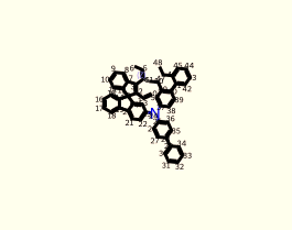 C=CC1=C(/C=C\C)c2ccccc2C12c1ccccc1-c1ccc(N(c3ccc(-c4ccccc4)cc3)c3ccc(-c4ccccc4CC)c(CC)c3)cc12